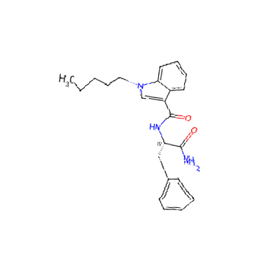 CCCCCn1cc(C(=O)N[C@@H](Cc2ccccc2)C(N)=O)c2ccccc21